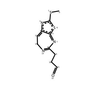 CSc1nc2c(s1)=NC(CCC=O)=NCC=2